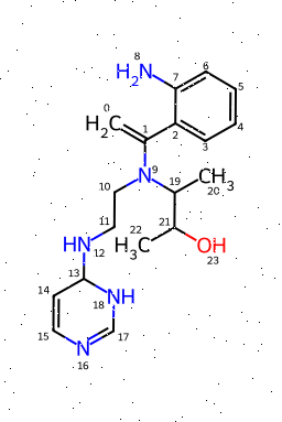 C=C(c1ccccc1N)N(CCNC1C=CN=CN1)C(C)C(C)O